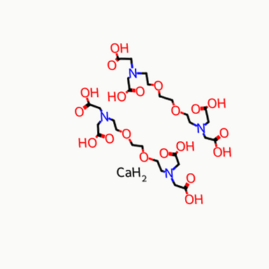 O=C(O)CN(CCOCCOCCN(CC(=O)O)CC(=O)O)CC(=O)O.O=C(O)CN(CCOCCOCCN(CC(=O)O)CC(=O)O)CC(=O)O.[CaH2]